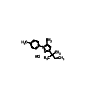 CCC(C)(C)c1cc(N)n(-c2ccc(C)cc2)n1.Cl